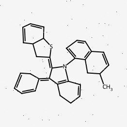 CC1C=Cc2cccc(-n3c4c(c(=C5\C=CC=CC5)/c3=C3\CC5C=CC=CC5S3)CCC=C4)c2C1